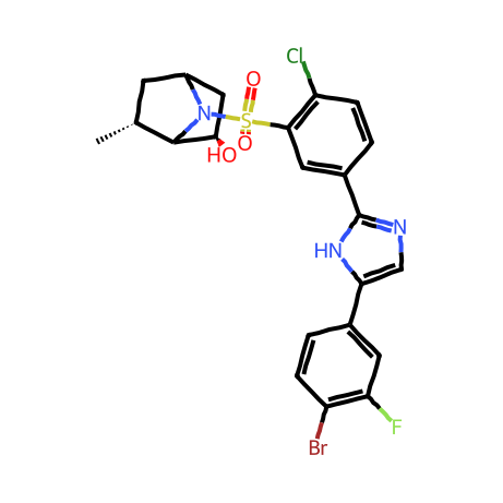 C[C@@H]1CC2C[C@@H](O)C1N2S(=O)(=O)c1cc(-c2ncc(-c3ccc(Br)c(F)c3)[nH]2)ccc1Cl